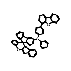 c1ccc(N(c2ccc(-c3cccc4c3oc3ccccc34)cc2)c2ccc3c(c2)-c2ccccc2C32c3ccccc3Oc3cc4ccccc4cc32)cc1